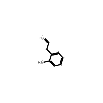 C=CCc1ccccc1[SeH]